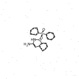 NC1=Cc2ccccc2ON1.O=S(=O)(c1ccccc1)c1ccccc1